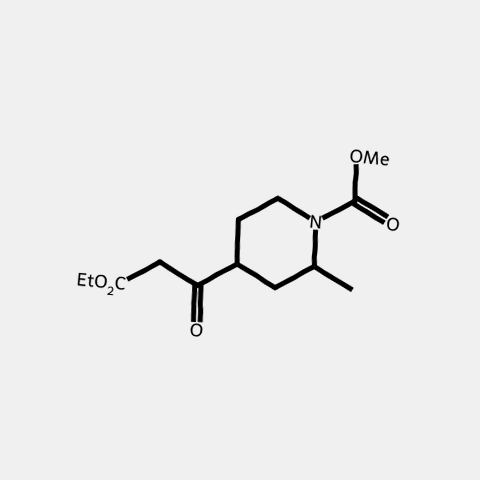 CCOC(=O)CC(=O)C1CCN(C(=O)OC)C(C)C1